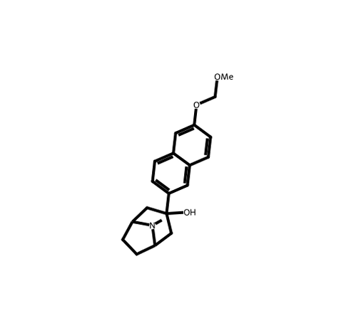 COCOc1ccc2cc(C3(O)CC4CCC(C3)N4C)ccc2c1